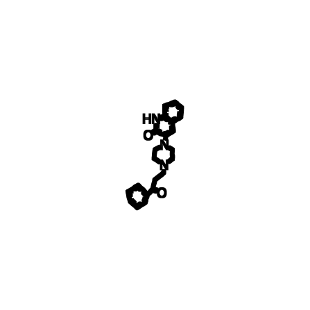 O=C(CCN1CCN(c2cc3ccccc3[nH]c2=O)CC1)c1ccccc1